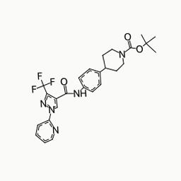 CC(C)(C)OC(=O)N1CCC(c2ccc(NC(=O)c3cn(-c4ccccn4)nc3C(F)(F)F)cc2)CC1